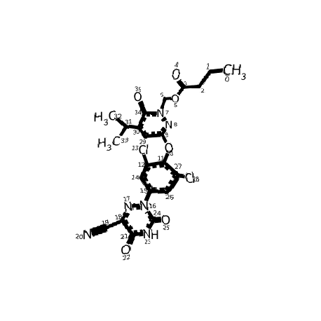 CCCC(=O)OCn1nc(Oc2c(Cl)cc(-n3nc(C#N)c(=O)[nH]c3=O)cc2Cl)cc(C(C)C)c1=O